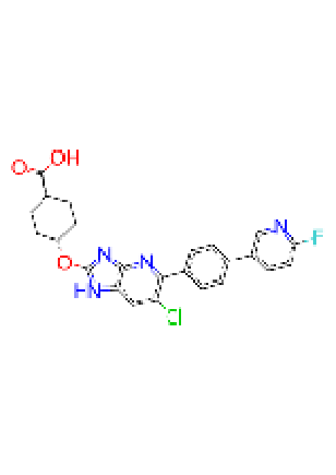 O=C(O)[C@H]1CC[C@H](Oc2nc3nc(-c4ccc(-c5ccc(F)nc5)cc4)c(Cl)cc3[nH]2)CC1